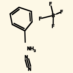 Cc1ccccc1.F[B-](F)(F)F.N.N#N